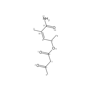 CC(=O)CC(=O)OC(C)C=C(C)C(N)=O